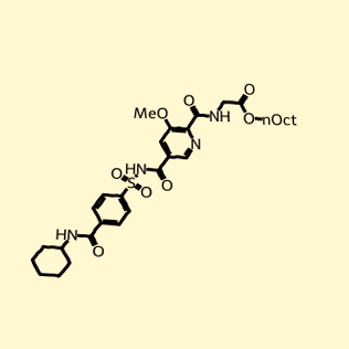 CCCCCCCCOC(=O)CNC(=O)c1ncc(C(=O)NS(=O)(=O)c2ccc(C(=O)NC3CCCCC3)cc2)cc1OC